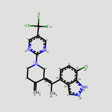 C=C1CCN(c2ncc(C(F)(F)F)cn2)C/C1=C(/C)c1ccc(Cl)c2[nH]ncc12